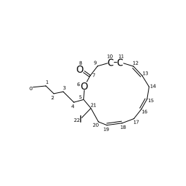 CCCCCC1OC(=O)CCC/C=C\C/C=C\C/C=C\CC1I